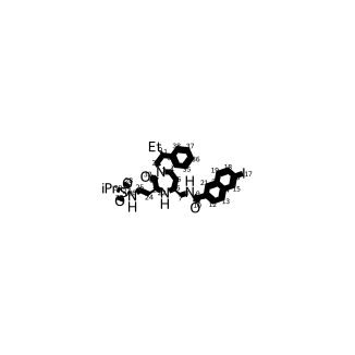 CC[C@H](CN1CC[C@@H](CNC(=O)c2ccc3cc(I)ccc3c2)N[C@@H](CCNS(=O)(=O)C(C)C)C1=O)c1ccccc1